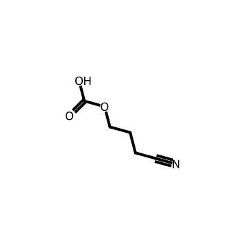 N#CCCCOC(=O)O